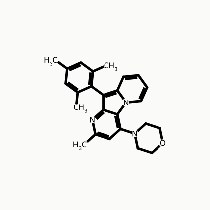 Cc1cc(C)c(-c2c3nc(C)cc(N4CCOCC4)c3n3ccccc23)c(C)c1